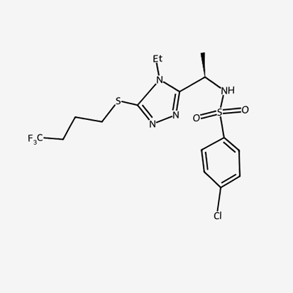 CCn1c(SCCCC(F)(F)F)nnc1[C@@H](C)NS(=O)(=O)c1ccc(Cl)cc1